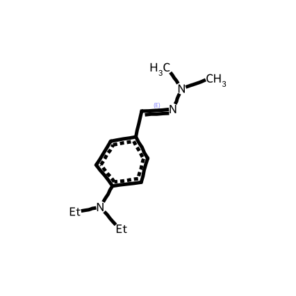 CCN(CC)c1ccc(/C=N/N(C)C)cc1